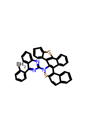 Bc1ccccc1-c1nc(N2Sc3ccc4ccccc4c3-c3c2c2c4ccccc4sc2c2ccccc32)nc2ccccc12